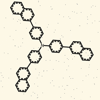 c1ccc2cc(-c3ccc(N(c4ccc(-c5ccc6ccccc6c5)cc4)c4ccc(-c5ccc6ccccc6c5)cc4)cc3)ccc2c1